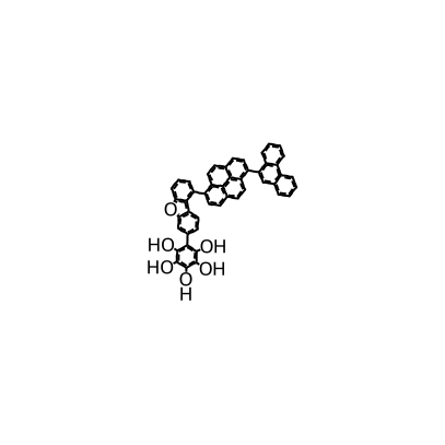 Oc1c(O)c(O)c(-c2ccc3c(c2)oc2cccc(-c4ccc5ccc6c(-c7cc8ccccc8c8ccccc78)ccc7ccc4c5c76)c23)c(O)c1O